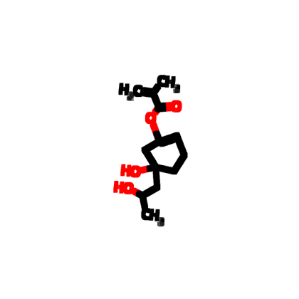 C=C(C)C(=O)OC1=CCCC(O)(CC(C)O)C1